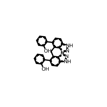 Oc1ccccc1-c1ccc2[nH]nnc2c1Cc1c(-c2ccccc2O)ccc2[nH]nnc12